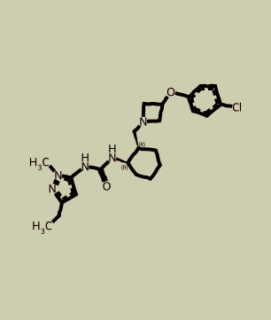 CCc1cc(NC(=O)N[C@@H]2CCCC[C@@H]2CN2CC(Oc3ccc(Cl)cc3)C2)n(C)n1